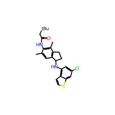 Cc1cc2c(c(C)c1NC(=O)CC(C)(C)C)CCC2Nc1cc(Cl)cc2sccc12